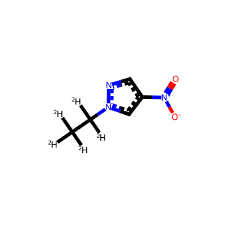 [2H]C([2H])([2H])C([2H])([2H])n1cc([N+](=O)[O-])cn1